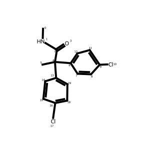 CNC(=O)C(C)(c1ccc(Cl)cc1)c1ccc(Cl)cc1